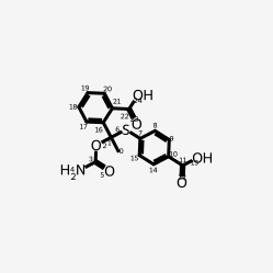 CC(OC(N)=O)(Sc1ccc(C(=O)O)cc1)c1ccccc1C(=O)O